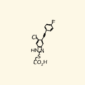 O=C(O)CSc1nc2cc(C#Cc3ccc(F)cc3)c(Cl)cc2[nH]1